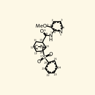 COc1cccnc1NC(=O)C1CC2CCC1N(S(=O)(=O)c1ccccc1)C2